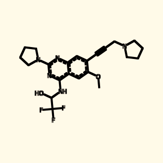 COc1cc2c(NC(O)C(F)(F)F)nc(N3CCCC3)nc2cc1C#CCN1CCCC1